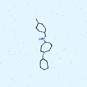 CC1CCC(CNC2CCCN(C3CCCCC3)CC2)CC1